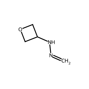 C=NNC1COC1